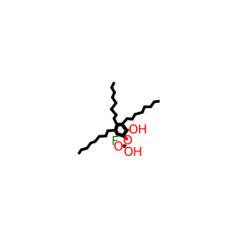 CCCCCCCCc1c(O)c(OC(=O)O)c(F)c(CCCCCCCC)c1CCCCCCCC